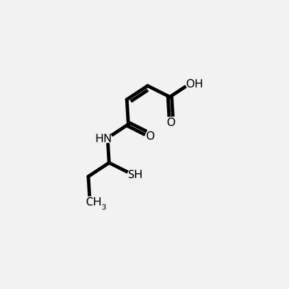 CCC(S)NC(=O)/C=C\C(=O)O